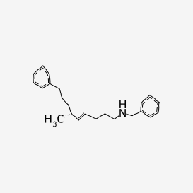 C[C@@H](C=CCCCNCc1ccccc1)CCCc1ccccc1